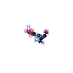 Cc1ccc(-c2c(C)noc2C)cc1N(C[C@H]1CC[C@H](Nc2cc3c(cc2F)C(=O)N(C2CCC(=O)NC2=O)C3=O)CC1)c1ccc(C2(C#N)CC2)c(Cl)c1